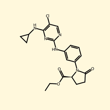 CCOC(=O)[C@@H]1CCC(=O)N1c1cccc(Nc2ncc(Cl)c(NC3CC3)n2)c1